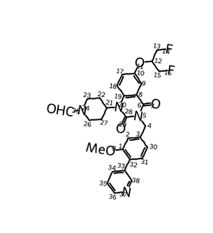 COc1cc(Cn2c(=O)c3cc(OC(CF)CF)ccc3n(C3CCN(C=O)CC3)c2=O)ccc1-c1cccnc1